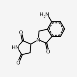 Nc1cccc2c1CN(C1CC(=O)NC1=O)C2=O